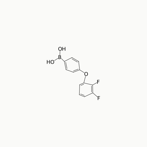 OB(O)c1ccc(Oc2cccc(F)c2F)cc1